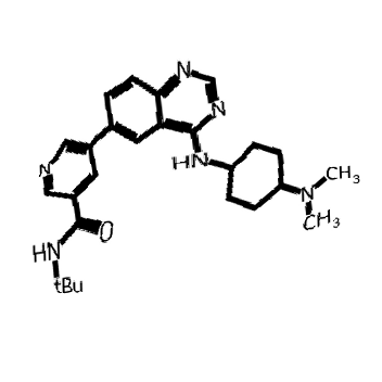 CN(C)C1CCC(Nc2ncnc3ccc(-c4cncc(C(=O)NC(C)(C)C)c4)cc23)CC1